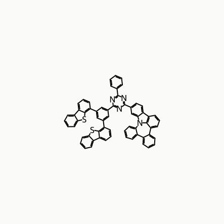 c1ccc(-c2nc(-c3cc(-c4cccc5c4sc4ccccc45)cc(-c4cccc5c4sc4ccccc45)c3)nc(-c3ccc4c5cccc6c5n(c4c3)-c3ccccc3-c3ccccc3-6)n2)cc1